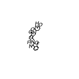 CN(C)C(C(=O)NCc1scc2c1CN(C1CCC(=O)NC1=O)C2=O)c1ccccc1F